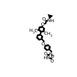 Cc1cc(OCC(=O)NC2CC2)cc(C)c1-c1cccc(COc2ccc(Cn3oc(=O)[nH]c3=O)cc2)c1